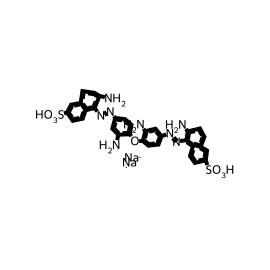 Nc1cc(N=Nc2c(N)ccc3cc(S(=O)(=O)O)ccc23)ccc1Oc1ccc(N=Nc2c(N)ccc3cc(S(=O)(=O)O)ccc23)cc1N.[Na].[Na]